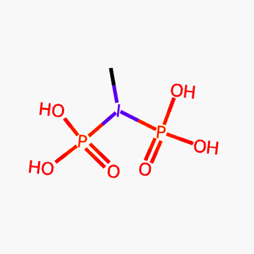 CI(P(=O)(O)O)P(=O)(O)O